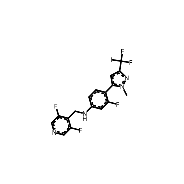 Cn1nc(C(F)(F)I)cc1-c1ccc(NCc2c(F)cncc2F)cc1F